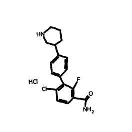 Cl.NC(=O)c1ccc(Cl)c(-c2ccc(C3CCCNC3)cc2)c1F